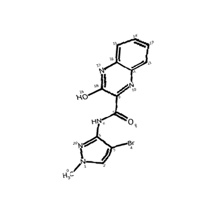 Cn1cc(Br)c(NC(=O)c2nc3ccccc3nc2O)n1